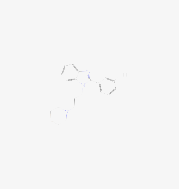 Cc1cccc(-c2nc3ccccc3n2CCCN2CCSCC2)c1